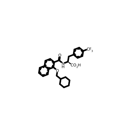 O=C(N[C@@H](Cc1ccc(C(F)(F)F)cc1)C(=O)O)c1ccc2ccccc2c1OCC1CCCCC1